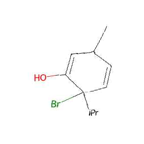 CC1C=CC(Br)(C(C)C)C(O)=C1